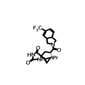 CC(C)[C@H](CC1(C2CC2)NC(=O)NC1=O)C(=O)N1CC2C=CC(C(F)(F)F)=CC2C1